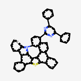 c1ccc(-c2cc(-c3ccccc3)nc(-c3ccc(-n4c5ccccc5c5c6ccccc6c6sc7c8ccccc8c8ccccc8c7c6c54)cc3)n2)cc1